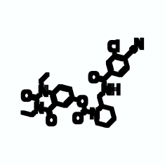 CCn1c(=O)c2cc(OC(=O)N3CCCCC3CNC(=O)c3ccc(C#N)c(Cl)c3)ccc2n(CC)c1=O